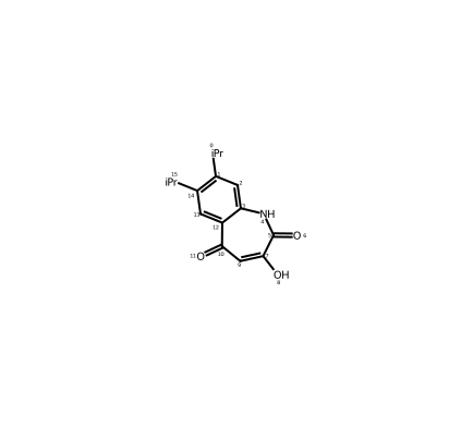 CC(C)c1cc2[nH]c(=O)c(O)cc(=O)c2cc1C(C)C